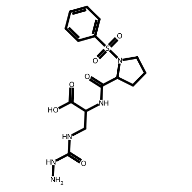 NNC(=O)NCC(NC(=O)C1CCCN1S(=O)(=O)c1ccccc1)C(=O)O